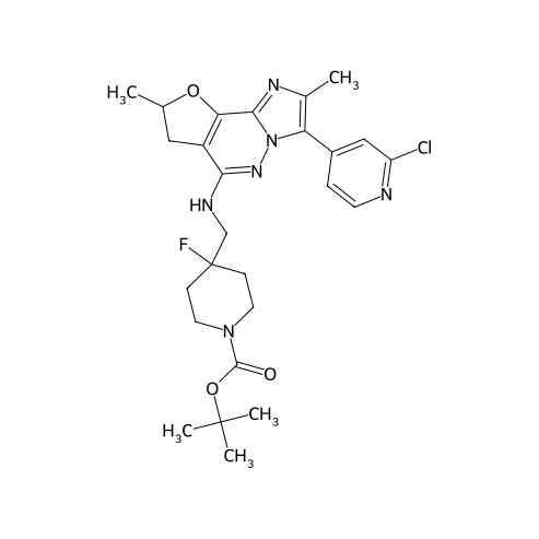 Cc1nc2c3c(c(NCC4(F)CCN(C(=O)OC(C)(C)C)CC4)nn2c1-c1ccnc(Cl)c1)CC(C)O3